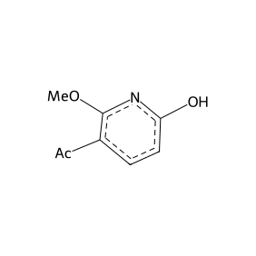 COc1nc(O)ccc1C(C)=O